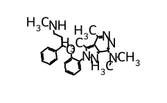 CNCC[C@@H](Oc1ccccc1-n1nc2c(N(C)C)nnc(C)c2c1C)c1ccccc1